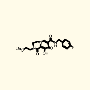 CCOCCN1CCn2cc(C(=O)NCc3ccc(F)cc3)c(=O)c(O)c2C1=O